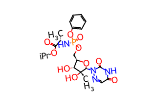 CC(C)OC(=O)[C@H](C)N[P@](=O)(OC[C@H]1O[C@@H](n2ncc(=O)[nH]c2=O)[C@](C)(O)[C@@H]1O)Oc1ccccc1